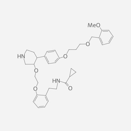 COc1ccccc1COCCCOc1ccc(C2CCNCC2OCCOc2ccccc2CCNC(=O)C2CC2)cc1